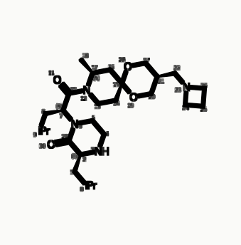 CC(C)C[C@@H]1NCCN([C@@H](CC(C)C)C(=O)N2CC[C@]3(C[C@@H]2C)OC[C@H](CN2CCC2)CO3)C1=O